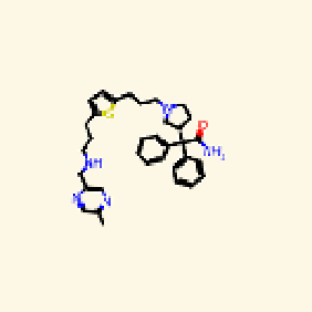 Cc1cnc(CNCCCc2ccc(CCCN3CC[C@@H](C(C(N)=O)(c4ccccc4)c4ccccc4)C3)s2)cn1